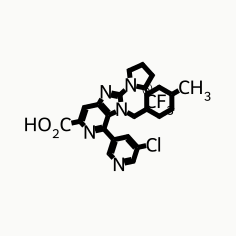 CC1CCC(Cn2c(N3CCC[C@H]3C(F)(F)F)nc3cc(C(=O)O)nc(-c4cncc(Cl)c4)c32)CC1